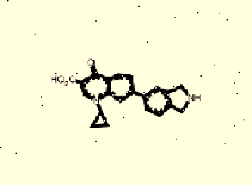 O=C(O)c1cn(C2CC2)c2cc(-c3ccc4c(c3)CNC4)ccc2c1=O